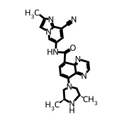 Cc1cn2cc(NC(=O)c3ccc(N4C[C@H](C)N[C@@H](C)C4)c4nccnc34)cc(C#N)c2n1